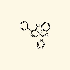 CC1=C(c2ccccc2)N=C[N+]1(C(=O)n1ccnc1)c1ccccc1